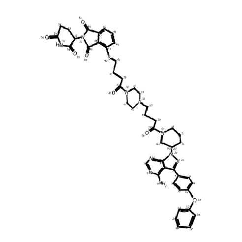 Nc1ncnc2c1c(-c1ccc(Oc3ccccc3)cc1)nn2[C@@H]1CCCN(C(=O)CCCN2CCN(C(=O)CCCSc3cccc4c3C(=O)N(C3CCC(=O)NC3=O)C4=O)CC2)C1